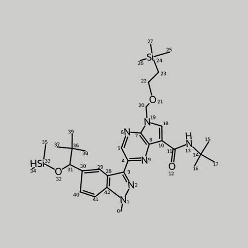 Cn1nc(-c2cnc3c(n2)c(C(=O)NC(C)(C)C)cn3COCC[Si](C)(C)C)c2cc(C(O[SiH](C)C)C(C)(C)C)ccc21